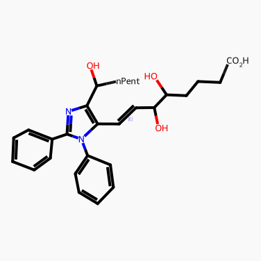 CCCCCC(O)c1nc(-c2ccccc2)n(-c2ccccc2)c1/C=C/C(O)C(O)CCCC(=O)O